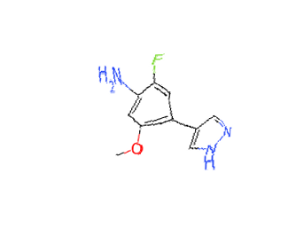 COc1cc(N)c(F)cc1-c1cn[nH]c1